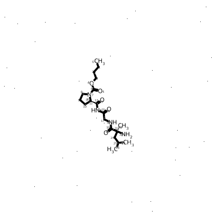 CCCCOC(=O)N1CCC[C@@H]1C(=O)NC(=O)CNC(=O)[C@@](C)(N)CC(C)C